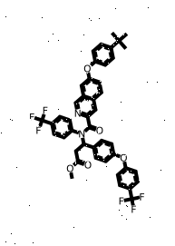 COC(=O)CC(c1ccc(Oc2ccc(C(F)(F)F)cc2)cc1)N(C(=O)c1cc2ccc(Oc3ccc(C(C)(C)C)cc3)cc2cn1)c1ccc(C(F)(F)F)cc1